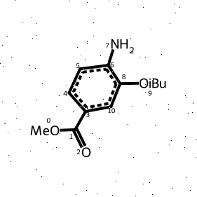 COC(=O)c1ccc(N)c(OCC(C)C)c1